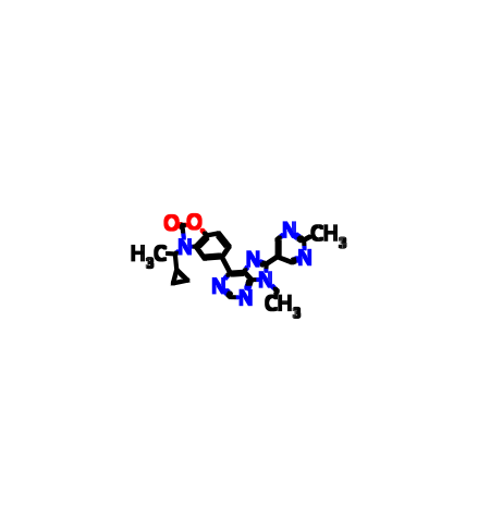 CCn1c(-c2cnc(C)nc2)nc2c(-c3ccc4oc(=O)n(C(C)C5CC5)c4c3)ncnc21